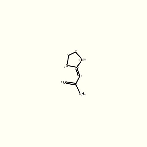 NC(=O)C=C1NCCS1